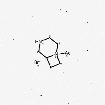 CC(=O)[N+]12CCNCC1CC2.[Br-]